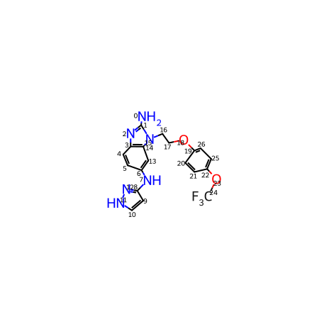 Nc1nc2ccc(Nc3cc[nH]n3)cc2n1CCOc1ccc(OC(F)(F)F)cc1